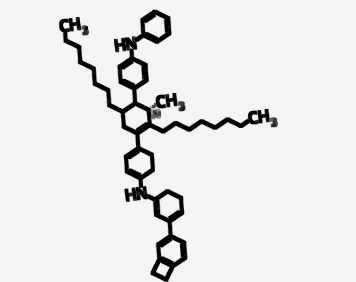 CCCCCCCCC1=C(C2=CC=C(NC3=CC(c4ccc5c(c4)CC5)=CCC3)CC2)CC(CCCCCCCC)C(c2ccc(Nc3ccccc3)cc2)[C@@H]1C